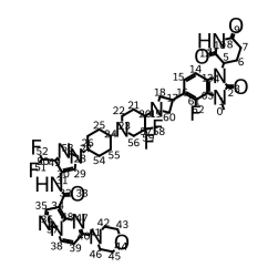 Cn1c(=O)n(C2CCC(=O)NC2=O)c2ccc(C3CN(C4CCN([C@H]5CC[C@H](n6cc(NC(=O)c7cnn8ccc(N9CCOCC9)nc78)c(C(F)F)n6)CC5)CC4(F)F)C3)c(F)c21